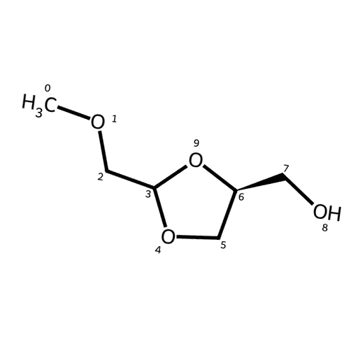 COCC1OC[C@H](CO)O1